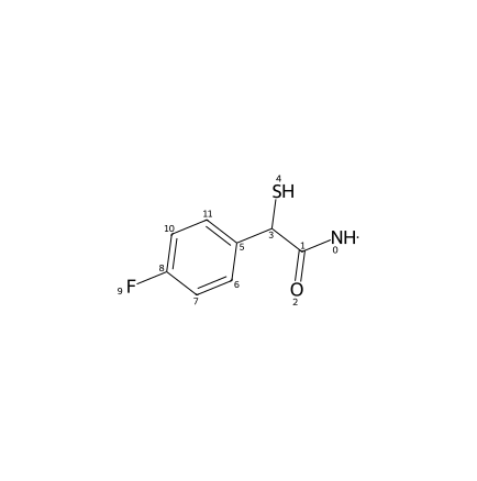 [NH]C(=O)C(S)c1ccc(F)cc1